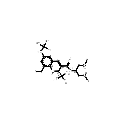 CCc1cc(OC(F)(F)F)cc2c1O[C@H](C(F)(F)F)C(C(=O)OC(COC)COC)=C2